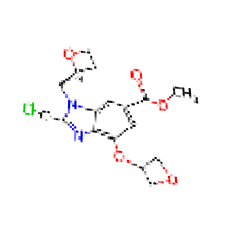 COC(=O)c1cc(OC2COC2)c2nc(CCl)n(C[C@@H]3CCO3)c2c1